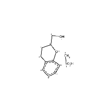 CS(=O)(=O)O.OCC1CCc2ccccc2O1